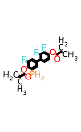 C=C(C)C(=O)Oc1ccc(-c2cc(F)c(OC(=O)C(=C)C)c(P)c2)c(F)c1F